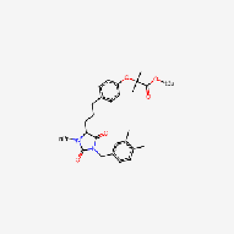 CCCN1C(=O)N(Cc2ccc(C)c(C)c2)C(=O)C1CCCc1ccc(OC(C)(C)C(=O)OC(C)(C)C)cc1